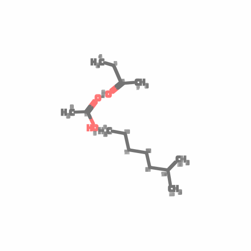 CC(=O)O.CCC(C)=O.CCCCCC(C)C